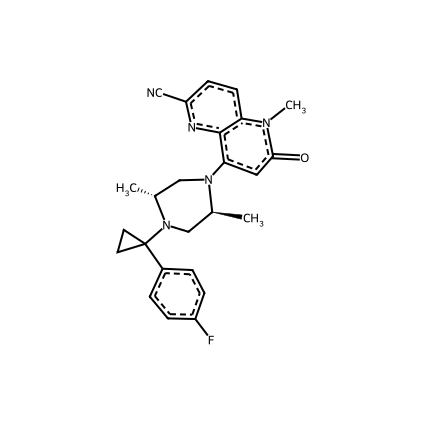 C[C@@H]1CN(c2cc(=O)n(C)c3ccc(C#N)nc23)[C@@H](C)CN1C1(c2ccc(F)cc2)CC1